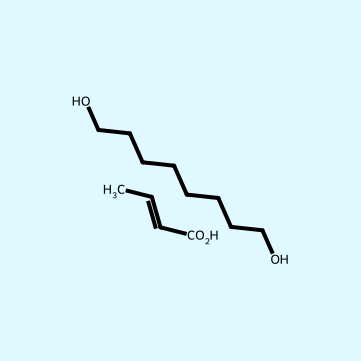 CC=CC(=O)O.OCCCCCCCCO